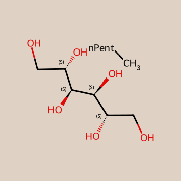 CCCCCC.OC[C@H](O)[C@H](O)[C@@H](O)[C@@H](O)CO